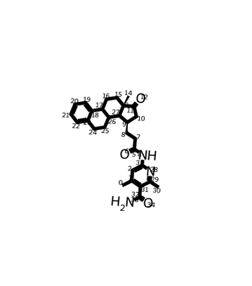 Cc1cc(NC(=O)CC[C@@H]2CC(=O)[C@@]3(C)CCC4c5ccccc5CCC4C23)nc(C)c1C(N)=O